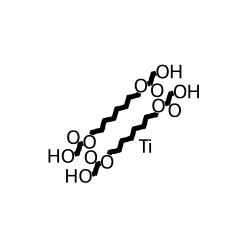 O=C(CO)OCCCCCCCCOC(=O)CO.O=C(CO)OCCCCCCCCOC(=O)CO.[Ti]